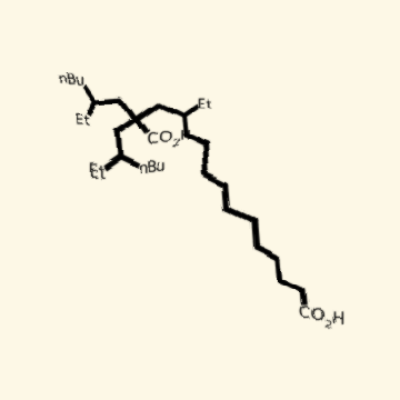 CCCCC(CC)CC(CC(CC)CCCC)(CC(CC)CCCCCCCCCCC(=O)O)C(=O)O